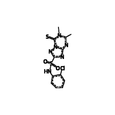 Cc1nc2nc(S(=O)(=O)Nc3ccccc3Cl)nn2c(=S)n1C